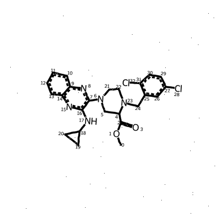 COC(=O)C1CN(c2nc3ccccc3nc2NC2CC2)CCN1Cc1cc(Cl)ccc1Cl